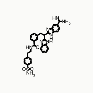 N=C(N)c1ccc2[nH]c(C(Cc3cccc(C(=O)NCCc4ccc(S(N)(=O)=O)cc4)c3)c3nc4ccccc4[nH]3)nc2c1